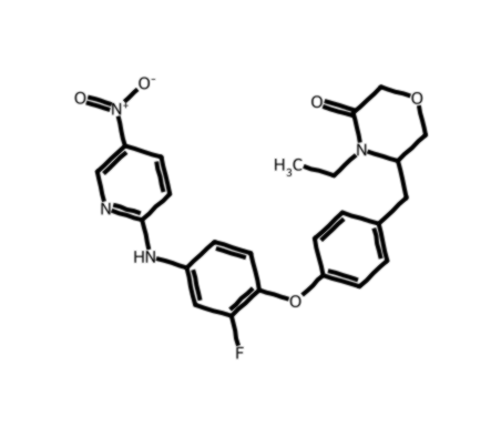 CCN1C(=O)COCC1Cc1ccc(Oc2ccc(Nc3ccc([N+](=O)[O-])cn3)cc2F)cc1